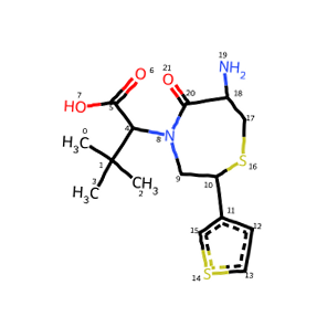 CC(C)(C)C(C(=O)O)N1CC(c2ccsc2)SCC(N)C1=O